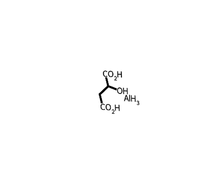 O=C(O)CC(O)C(=O)O.[AlH3]